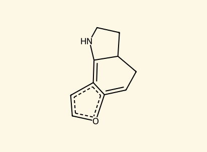 C1=c2occc2=C2NCCC2C1